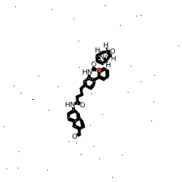 C[N+]1(C)[C@@H]2CC(OC(=O)Nc3cc(CCCC(=O)Nc4ccc5cc(C=O)ccc5c4)ccc3-c3ccccc3)C[C@H]1[C@@H]1O[C@@H]12